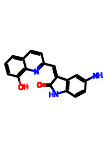 Nc1ccc2c(c1)C(=Cc1ccc3cccc(O)c3n1)C(=O)N2